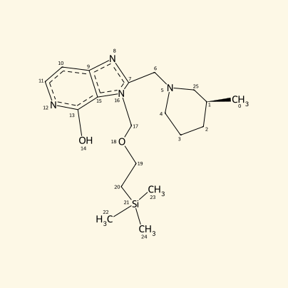 C[C@H]1CCCN(Cc2nc3ccnc(O)c3n2COCC[Si](C)(C)C)C1